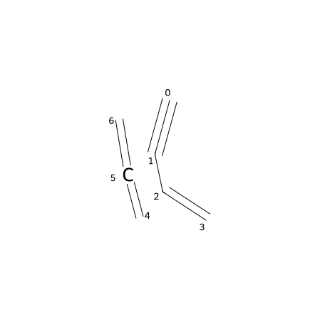 C#CC=C.C=C=C